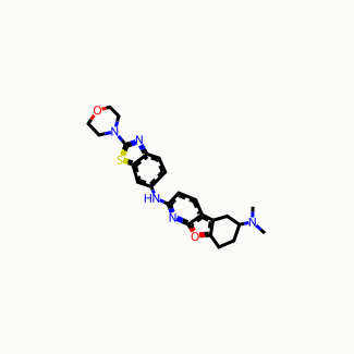 CN(C)C1CCc2oc3nc(Nc4ccc5nc(N6CCOCC6)sc5c4)ccc3c2C1